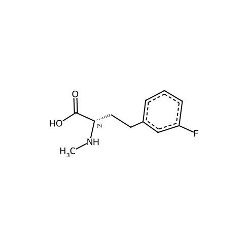 CN[C@@H](CCc1cccc(F)c1)C(=O)O